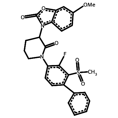 COc1ccc2c(c1)oc(=O)n2C1CCCN(c2ccc(-c3ccccc3)c(S(C)(=O)=O)c2F)C1=O